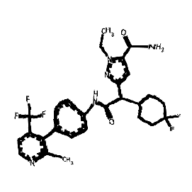 CCn1nc(C(C(=O)Nc2ccc(-c3c(C(F)(F)F)ccnc3C)cc2)C2CCC(F)(F)CC2)cc1C(N)=O